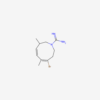 CC1=C(\Br)CCN(C(=N)N)CC(C)/C=C\1